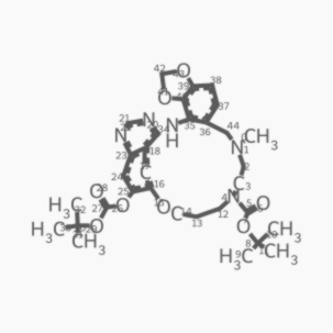 CN1CCN(C(=O)OC(C)(C)C)CCCOc2cc3c(ncnc3cc2OC(=O)OC(C)(C)C)Nc2c(ccc3c2OCO3)C1